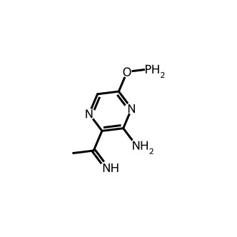 CC(=N)c1ncc(OP)nc1N